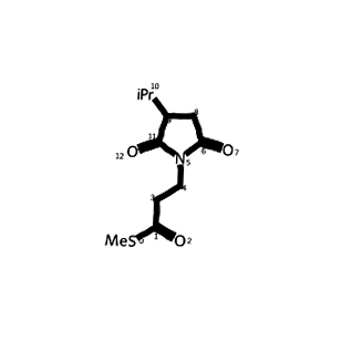 CSC(=O)CCN1C(=O)CC(C(C)C)C1=O